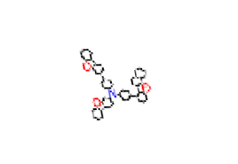 c1ccc2c(c1)ccc1c2oc2cccc(-c3ccc(N(c4ccc(-c5ccc6c(c5)oc5ccccc56)cc4)c4ccc5c(c4)oc4ccccc45)cc3)c21